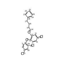 Clc1ccc(Oc2ccc(Cl)cc2OCCCCc2ccccc2)c(Cl)c1